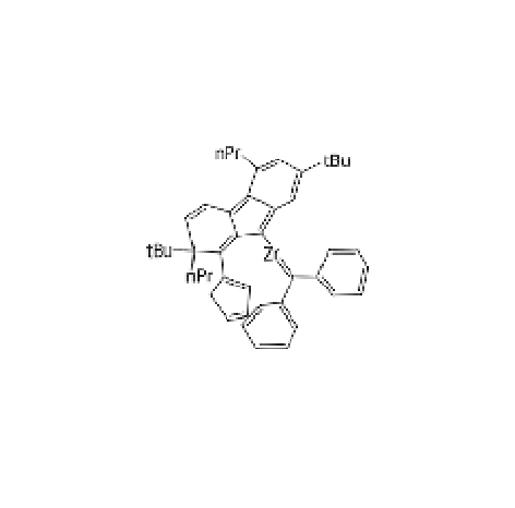 CCCc1cc(C(C)(C)C)cc2c1=C1C=CC(CCC)(C(C)(C)C)C(C3=CC=CC3)=C1[C]=2[Zr]=[C](c1ccccc1)c1ccccc1